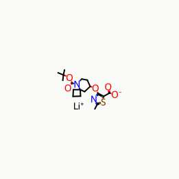 Cc1nc(OC2CCN(C(=O)OC(C)(C)C)C3(CCC3)C2)c(C(=O)[O-])s1.[Li+]